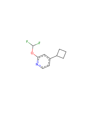 FC(F)Oc1cc(C2CCC2)ccn1